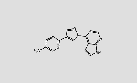 Nc1ccc(-c2cnn(-c3ccnc4[nH]ccc34)c2)cc1